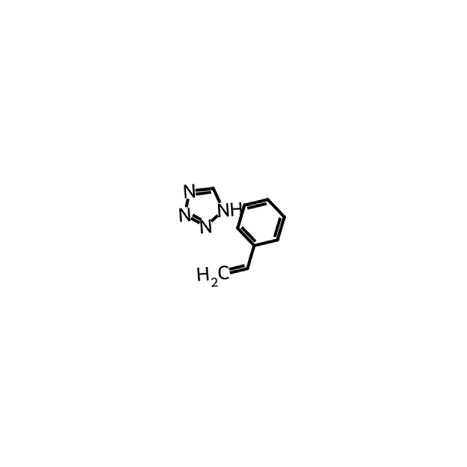 C=Cc1ccccc1.c1nnn[nH]1